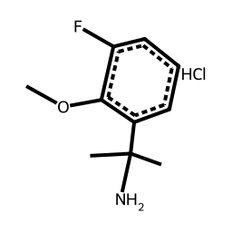 COc1c(F)cccc1C(C)(C)N.Cl